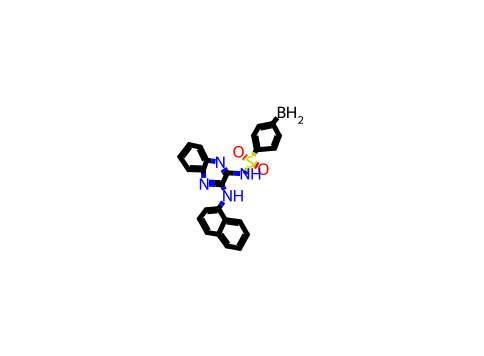 Bc1ccc(S(=O)(=O)Nc2nc3ccccc3nc2Nc2cccc3ccccc23)cc1